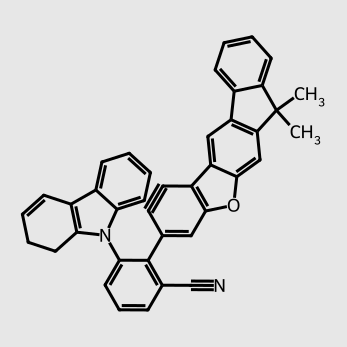 CC1(C)c2ccccc2-c2cc3c(cc21)oc1cc(-c2c(C#N)cccc2-n2c4c(c5ccccc52)C=CCC4)c#cc13